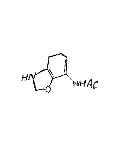 CC(=O)NC1=CCCC2=C1OCN2